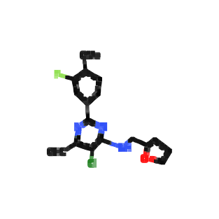 COc1ccc(-c2nc(C=O)c(Cl)c(NCc3ccco3)n2)cc1F